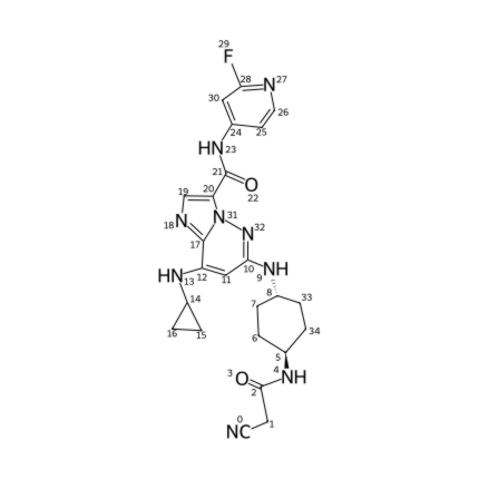 N#CCC(=O)N[C@H]1CC[C@H](Nc2cc(NC3CC3)c3ncc(C(=O)Nc4ccnc(F)c4)n3n2)CC1